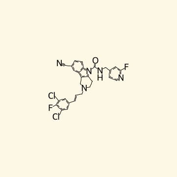 N#Cc1ccc2c(c1)c1c(n2C(=O)NCc2ccnc(F)c2)CCN(CC=Cc2cc(Cl)c(F)c(Cl)c2)C1